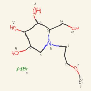 Br.CCOCCN1CC(O)C(O)C(O)C1CO